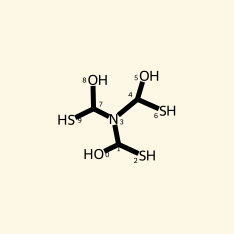 OC(S)N(C(O)S)C(O)S